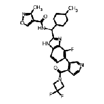 Cc1nocc1C(=O)N[C@H](c1nc2c(F)c(-c3cnccc3C(=O)N3CC(F)(F)C3)ccc2[nH]1)C1CCC(C)CC1